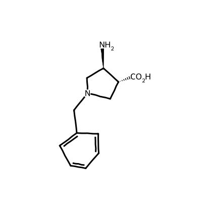 N[C@@H]1CN(Cc2ccccc2)C[C@H]1C(=O)O